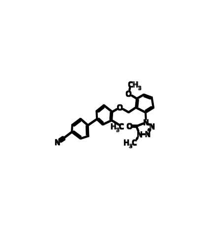 COc1cccc(-n2nnn(C)c2=O)c1COc1ccc(-c2ccc(C#N)cc2)cc1C